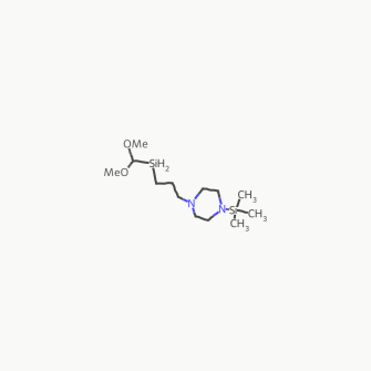 COC(OC)[SiH2]CCCN1CCN([Si](C)(C)C)CC1